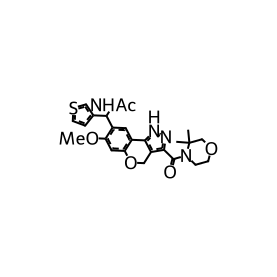 COc1cc2c(cc1C(NC(C)=O)c1ccsc1)-c1[nH]nc(C(=O)N3CCOCC3(C)C)c1CO2